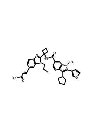 CC(=O)/C=C/c1ccc2nc(C3(NC(=O)c4ccc5c(C6CCCC6)c(-c6ccoc6)n(C)c5c4)CCC3)n(CCF)c2c1